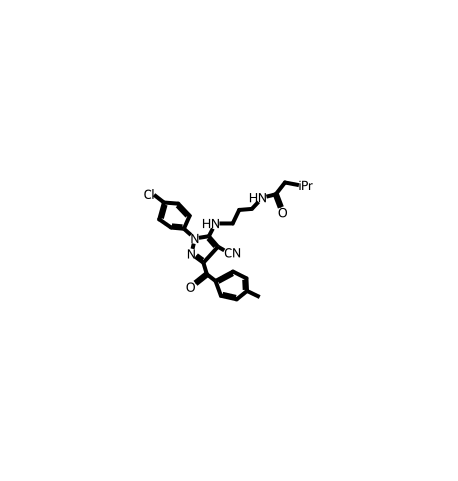 Cc1ccc(C(=O)c2nn(-c3ccc(Cl)cc3)c(NCCCNC(=O)CC(C)C)c2C#N)cc1